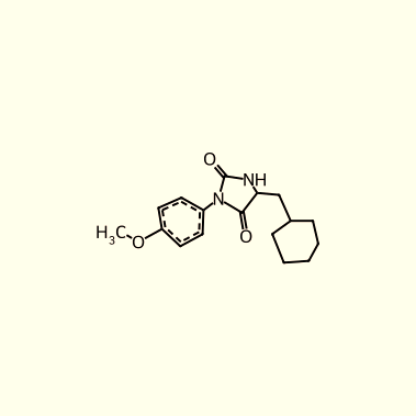 COc1ccc(N2C(=O)NC(CC3CCCCC3)C2=O)cc1